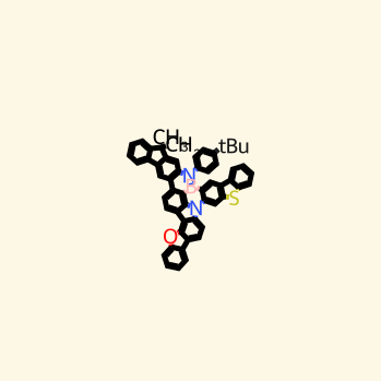 CC(C)(C)c1ccc(N2B3c4cc5c(cc4-n4c6ccc7c8ccccc8oc7c6c6ccc(c3c64)-c3cc4c(cc32)C(C)(C)c2ccccc2-4)sc2ccccc25)cc1